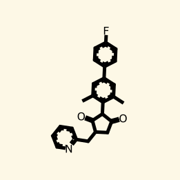 Cc1cc(-c2ccc(F)cc2)cc(C)c1C1C(=O)CC(Cc2ccccn2)C1=O